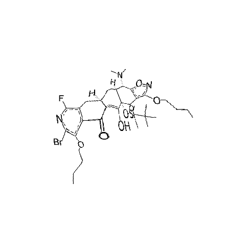 CCCCOc1noc2c1C(=O)[C@@]1(O[Si](C)(C)C(C)(C)C)C(O)=C3C(=O)c4c(c(F)nc(Br)c4OCCCC)C[C@H]3C[C@H]1[C@@H]2N(C)C